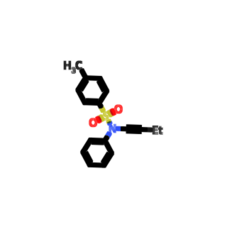 CCC#CN(c1ccccc1)S(=O)(=O)c1ccc(C)cc1